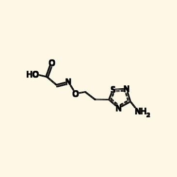 Nc1nsc(CCON=CC(=O)O)n1